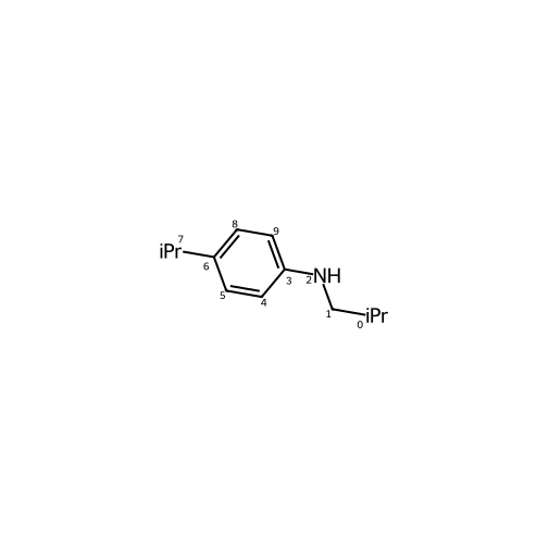 CC(C)CNc1ccc(C(C)C)cc1